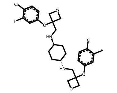 Fc1cc(OC2(CN[C@H]3CC[C@H](NCC4(Oc5ccc(Cl)c(F)c5)COC4)CC3)COC2)ccc1Cl